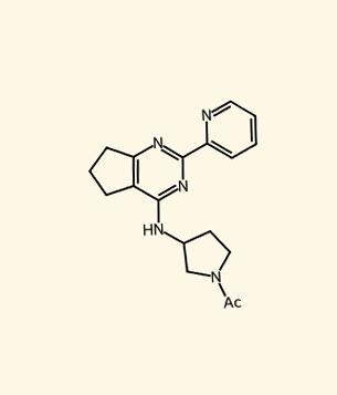 CC(=O)N1CCC(Nc2nc(-c3ccccn3)nc3c2CCC3)C1